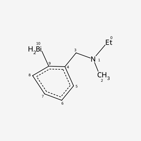 CCN(C)Cc1cccc[c]1[BiH2]